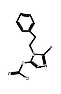 O=C(Cl)Oc1cnc(F)n1CCc1ccccc1